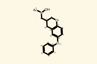 CC(=O)N(O)CC1COc2ccc(Oc3ccccc3)cc2C1